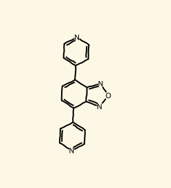 c1cc(-c2ccc(-c3ccncc3)c3nonc23)ccn1